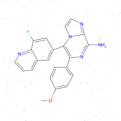 COc1ccc(-c2nc(N)c3nccn3c2-c2cc(F)c3ncccc3c2)cc1